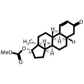 COC(=O)O[C@H]1CC[C@H]2[C@@H]3CC[C@H]4CC(=O)C=C[C@@H]4[C@H]3CC[C@]12C